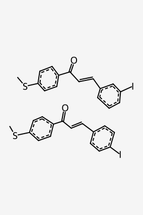 CSc1ccc(C(=O)C=Cc2ccc(I)cc2)cc1.CSc1ccc(C(=O)C=Cc2cccc(I)c2)cc1